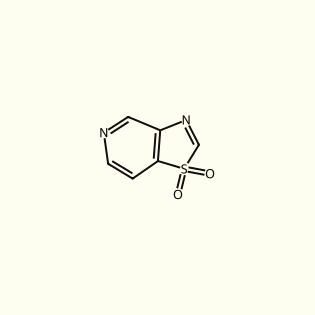 O=S1(=O)C=Nc2cnccc21